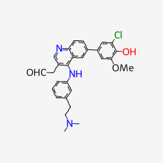 COc1cc(-c2ccc3ncc(CC=O)c(Nc4cccc(CCN(C)C)c4)c3c2)cc(Cl)c1O